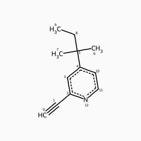 C#Cc1cc(C(C)(C)CC)ccn1